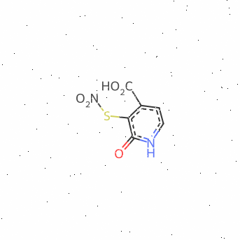 O=C(O)c1cc[nH]c(=O)c1S[N+](=O)[O-]